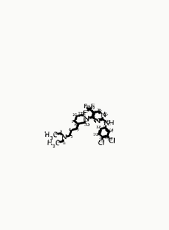 CCN(CC)CCCC1CCCN(c2nc(Nc3ccc(Cl)c(Cl)c3)ncc2C(F)(F)F)C1